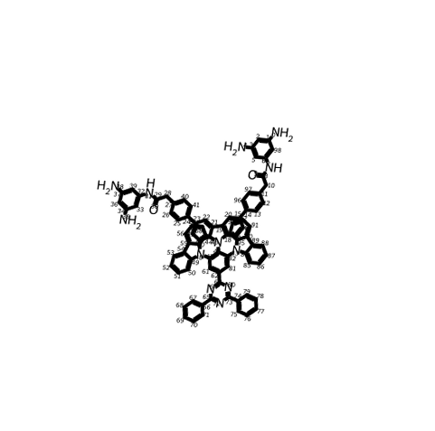 Nc1cc(N)cc(NC(=O)Cc2ccc(-c3ccc4c(c3)c3cc(-c5ccc(CC(=O)Nc6cc(N)cc(N)c6)cc5)ccc3n4-c3c(-n4c5ccccc5c5ccccc54)cc(-c4nc(-c5ccccc5)nc(-c5ccccc5)n4)cc3-n3c4ccccc4c4ccccc43)cc2)c1